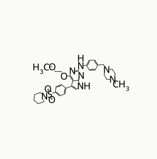 COCCOc1nc(Nc2ccc(CN3CCN(C)CC3)cc2)nc2[nH]cc(-c3ccc(S(=O)(=O)N4CCCCC4)cc3)c12